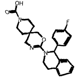 O=C(O)N1CCC2(CC1)CN=C(N1CCc3ccccc3C1c1ccc(F)cc1)OC2